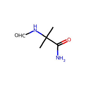 CC(C)(NC=O)C(N)=O